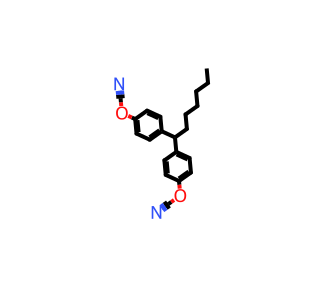 CCCCCCC(c1ccc(OC#N)cc1)c1ccc(OC#N)cc1